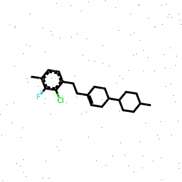 Cc1ccc(CCC2=CCC(C3CCC(C)CC3)CC2)c(Cl)c1F